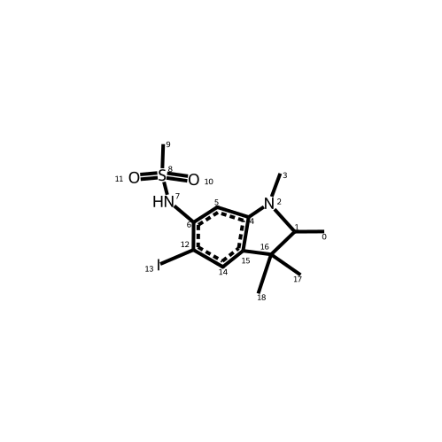 CC1N(C)c2cc(NS(C)(=O)=O)c(I)cc2C1(C)C